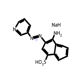 Nc1c(/N=N/c2cccnc2)cc(S(=O)(=O)O)c2ccccc12.[NaH]